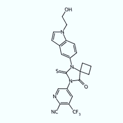 N#Cc1ncc(N2C(=O)C3(CCC3)N(c3ccc4c(ccn4CCO)c3)C2=S)cc1C(F)(F)F